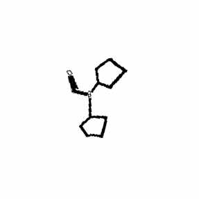 O=CB(C1CCCC1)C1CCCC1